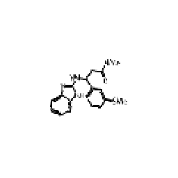 CNC(=O)CC(Nc1nc2ccccc2[nH]1)c1cccc(SC)c1